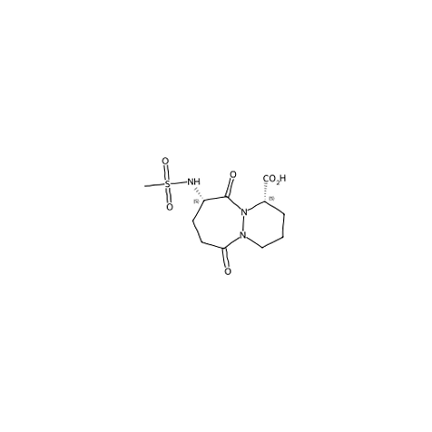 CS(=O)(=O)N[C@H]1CCC(=O)N2CCC[C@@H](C(=O)O)N2C1=O